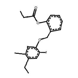 CCC(=O)Oc1ccccc1COc1cc(C)c(CC)cc1F